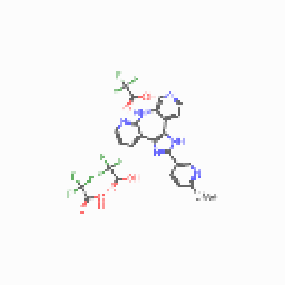 COc1ccc(-c2nc3c([nH]2)-c2ccncc2Nc2ncccc2-3)cn1.O=C(O)C(F)(F)F.O=C(O)C(F)(F)F.O=C(O)C(F)(F)F